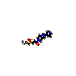 O=C(CC[S+]([O-])CC(F)(F)F)N1CCc2nn(-c3cccnc3)cc2C1